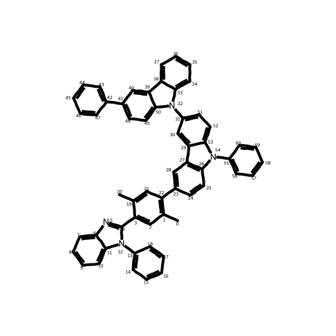 Cc1cc(-c2nc3ccccc3n2-c2ccccc2)c(C)cc1-c1ccc2c(c1)c1cc(-n3c4ccccc4c4cc(-c5ccccc5)ccc43)ccc1n2-c1ccccc1